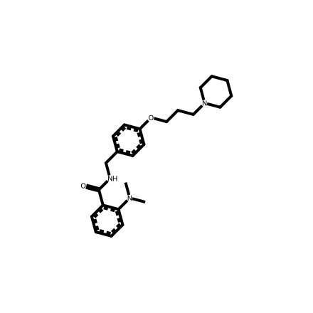 CN(C)c1ccccc1C(=O)NCc1ccc(OCCCN2CCCCC2)cc1